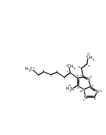 CCCCCCC(C)c1c(CCC)nc2ncnn2c1N